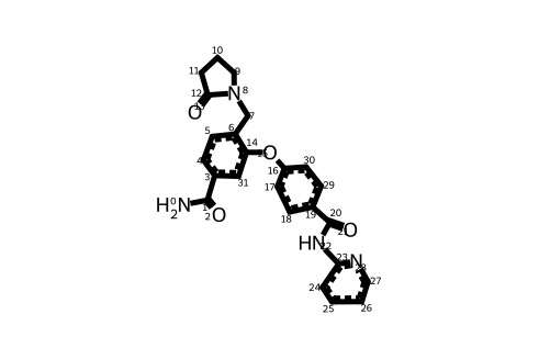 NC(=O)c1ccc(CN2CCCC2=O)c(Oc2ccc(C(=O)Nc3ccccn3)cc2)c1